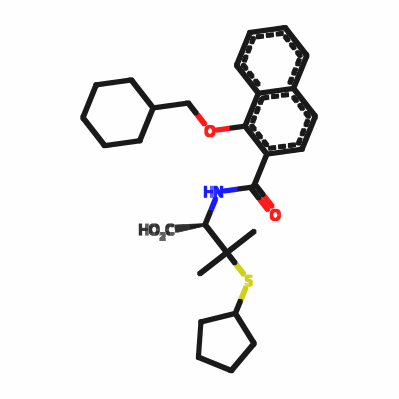 CC(C)(SC1CCCC1)[C@H](NC(=O)c1ccc2ccccc2c1OCC1CCCCC1)C(=O)O